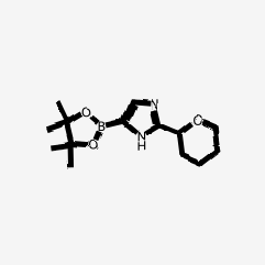 CC1(C)OB(c2cnc(C3CCCCO3)[nH]2)OC1(C)C